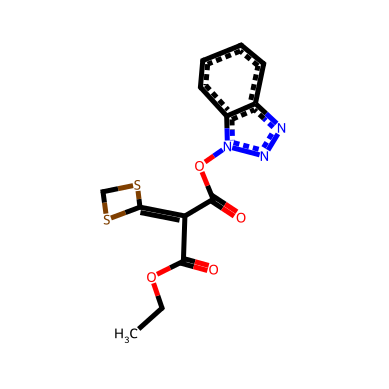 CCOC(=O)C(C(=O)On1nnc2ccccc21)=C1SCS1